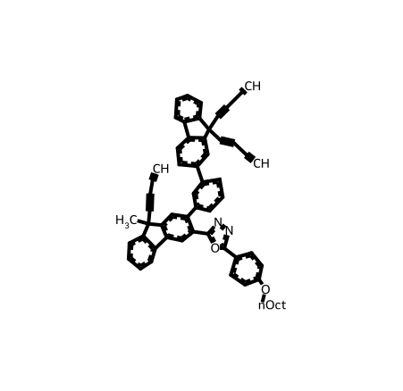 C#CC#CC1(C)c2ccccc2-c2cc(-c3nnc(-c4ccc(OCCCCCCCC)cc4)o3)c(-c3cccc(-c4ccc5c(c4)C(C#CC#C)(C#CC#C)c4ccccc4-5)c3)cc21